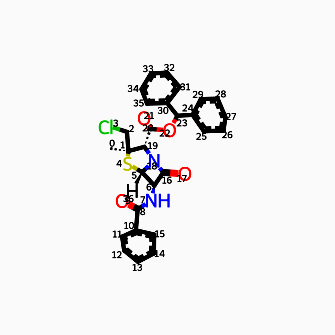 C[C@@]1(CCl)S[C@H]2[C@H](NC(=O)c3ccccc3)C(=O)N2[C@H]1C(=O)OC(c1ccccc1)c1ccccc1